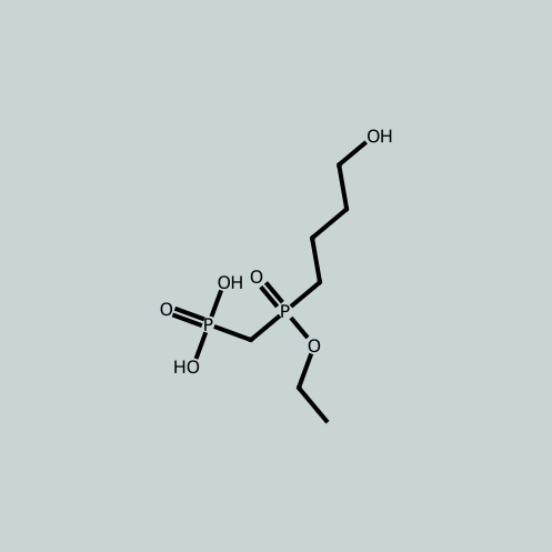 CCOP(=O)(CCCCO)CP(=O)(O)O